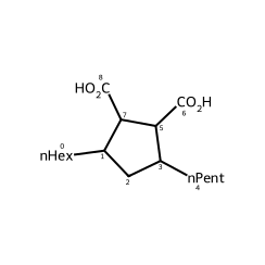 CCCCCCC1CC(CCCCC)C(C(=O)O)C1C(=O)O